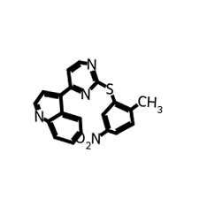 Cc1ccc([N+](=O)[O-])cc1Sc1nccc(-c2ccnc3ccccc23)n1